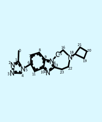 Cc1nncn1-c1ccc2c(c1)nc1n2CCN(C2CCC2)CC1